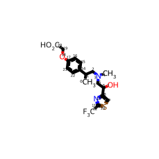 CC(CN(C)CC(O)c1csc(C(F)(F)F)n1)c1ccc(OCC(=O)O)cc1